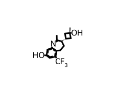 CC1=Nc2cc(O)cc(C(F)(F)F)c2CCC1[C@H]1C[C@@](C)(O)C1